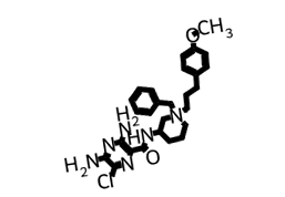 COc1ccc(CCC[N+]2(Cc3ccccc3)CCCC(NC(=O)c3nc(Cl)c(N)nc3N)C2)cc1